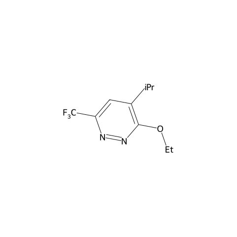 CCOc1nnc(C(F)(F)F)cc1C(C)C